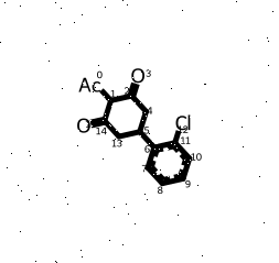 CC(=O)C1C(=O)CC(c2ccccc2Cl)CC1=O